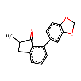 CC1Cc2cccc(-c3ccc4c(c3)OCO4)c2C1=O